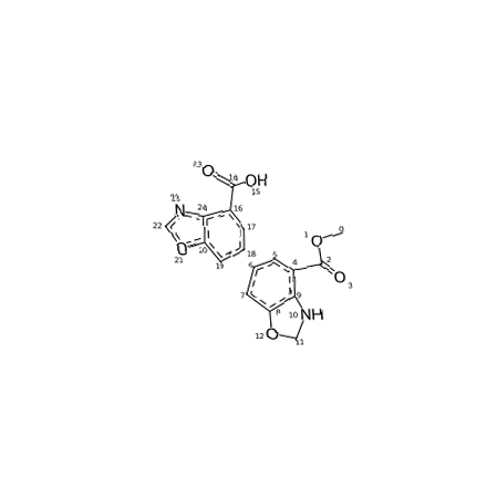 COC(=O)c1cccc2c1NCO2.O=C(O)c1cccc2ocnc12